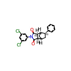 O=C1[C@@H]2[C@H]3C[C@@H]([C@@H]2C(=O)N1c1cc(Cl)cc(Cl)c1)[C@@H](c1ccccc1)C3